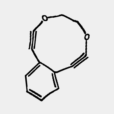 C1#Cc2ccccc2C#COCCO1